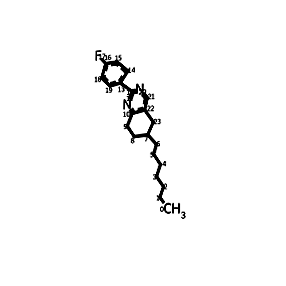 CCCCCCCC1CCc2nc(-c3ccc(F)cc3)ncc2C1